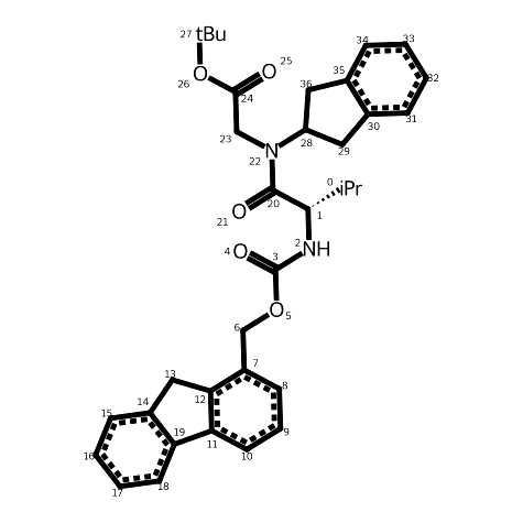 CC(C)[C@H](NC(=O)OCc1cccc2c1Cc1ccccc1-2)C(=O)N(CC(=O)OC(C)(C)C)C1Cc2ccccc2C1